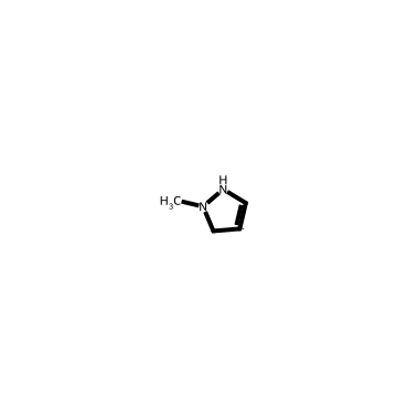 CN1C[C]=CN1